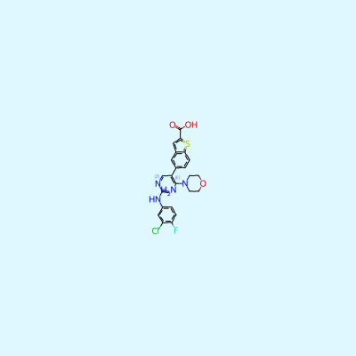 C=C(/N=C\C(=C(/N)N1CCOCC1)c1ccc2sc(C(=O)O)cc2c1)Nc1ccc(F)c(Cl)c1